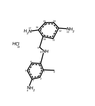 Cc1cc(N)ccc1NCc1cc(N)ccc1N.Cl